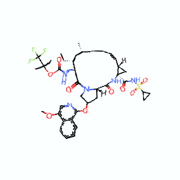 CC[C@@H]1C[C@H](C)CC/C=C\[C@@H]2C[C@@]2(C(=O)NS(=O)(=O)C2CC2)NC(=O)[C@@H]2C[C@@H](Oc3ncc(OC)c4ccccc34)CN2C(=O)[C@H]1NC(=O)OC(C)(C)C(F)(F)F